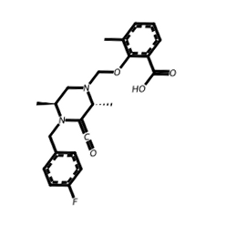 Cc1cccc(C(=O)O)c1OCN1C[C@H](C)N(Cc2ccc(F)cc2)C(=C=O)[C@H]1C